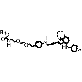 CN1CCC(Nc2cccc3c2cc(C#CCNc2ccc(CCOCCOCCNC(=O)OC(C)(C)C)cc2)n3CC(F)(F)F)CC1